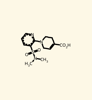 CN(C)S(=O)(=O)c1cccnc1N1CC=C(C(=O)O)CC1